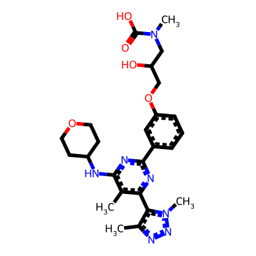 Cc1nnn(C)c1-c1nc(-c2cccc(OCC(O)CN(C)C(=O)O)c2)nc(NC2CCOCC2)c1C